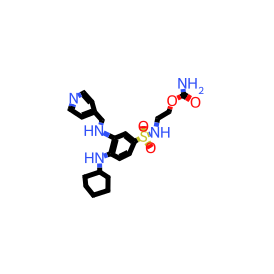 NC(=O)OCCNS(=O)(=O)c1ccc(NC2CCCCC2)c(NCc2ccncc2)c1